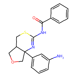 Nc1cccc(C23COCC2CSC(NC(=O)c2ccccc2)=N3)c1